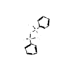 C[Si](C)([Te+][Si](C)(C)c1ccccc1)c1ccccc1